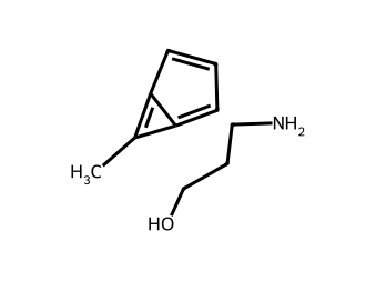 Cc1c2cccc1-2.NCCCO